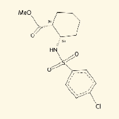 COC(=O)[C@@H]1CCCC[C@@H]1NS(=O)(=O)c1ccc(Cl)cc1